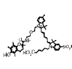 Cc1ccc2c(c1)C(C)(C)C(/C=C/C=C/C=C1/N(CCCCCC(=O)O)c3ccc(S(=O)(=O)O)cc3C1(C)C)=[N+]2CCOCCNC(=O)C1(C)CCc2c(C)c(O)c(C)c(C)c2O1